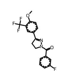 COc1ccc(C2=NN(C(=O)c3cccc(F)c3)CC2)cc1C(F)(F)F